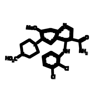 COc1cc2ncc(C(N)=O)c(Nc3cccc(Cl)c3Cl)c2cc1N1CCN(C(=O)O)CC1